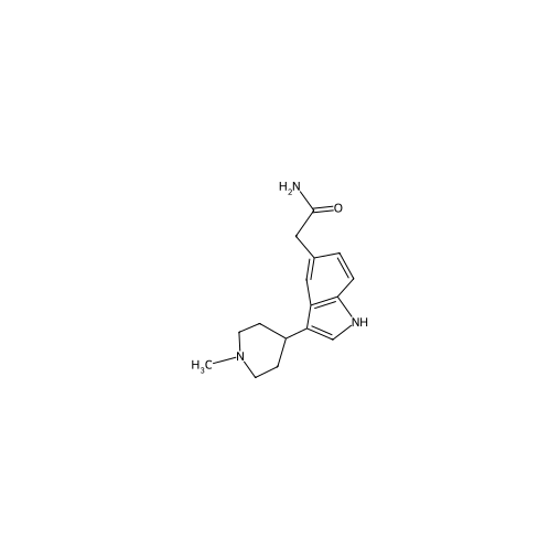 CN1CCC(c2c[nH]c3ccc(CC(N)=O)cc23)CC1